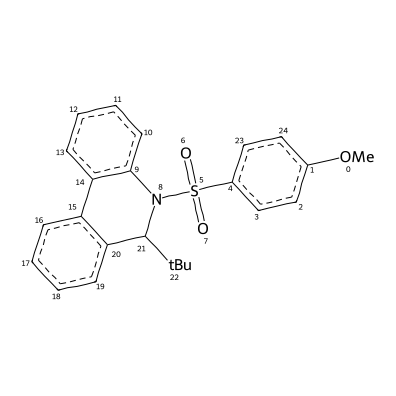 COc1ccc(S(=O)(=O)N2c3ccccc3-c3ccccc3C2C(C)(C)C)cc1